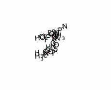 C[C@@H](c1nc(-c2ccc(C#N)cc2)cs1)[C@](O)(C[N+]1(CCOC(=O)Nc2cccc(F)c2COC(=O)CN(C)C)C=NC=N1)c1cc(F)ccc1F.Cl.[Cl-]